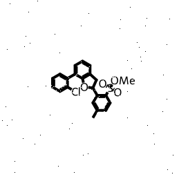 COS(=O)(=O)c1ccc(C)cc1C1Cc2cccc(-c3ccccc3Cl)c2O1